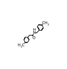 Cc1ccc(CNC(=O)Cc2ccc(C)cc2)cc1